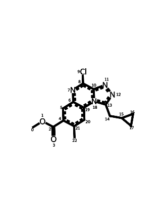 COC(=O)c1cc2nc(Cl)c3nnc(CC4CC4)n3c2cc1C